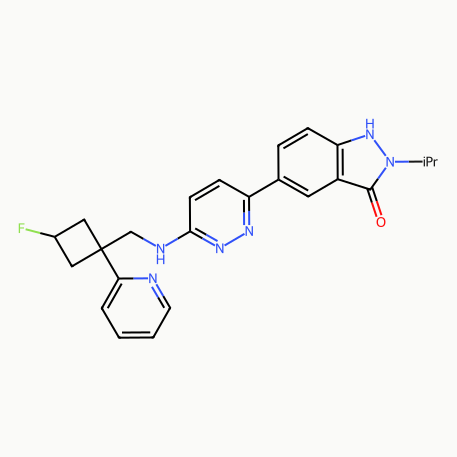 CC(C)n1[nH]c2ccc(-c3ccc(NCC4(c5ccccn5)CC(F)C4)nn3)cc2c1=O